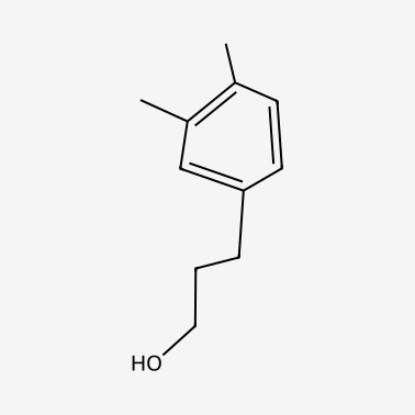 Cc1ccc(CCCO)cc1C